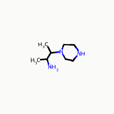 CC(N)C(C)N1CCNCC1